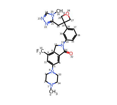 CN1CCN(c2cc3c(c(C(F)(F)F)c2)CN(c2cccc(C4(Cc5nncn5C)COC4)c2)C3=O)CC1